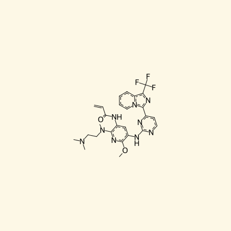 C=CC(=O)Nc1cc(Nc2nccc(-c3nc(C(F)(F)F)c4ccccn34)n2)c(OC)nc1N(C)CCN(C)C